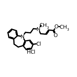 COC(=O)/C=C/CN(C)CCCN1c2ccccc2CCc2ccc(Cl)cc21.Cl